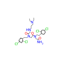 CCN(CC)CCCNCC(=O)N(CCc1ccc(Cl)cc1Cl)CC(=O)N(CCc1ccc(Cl)cc1Cl)CC(N)=O